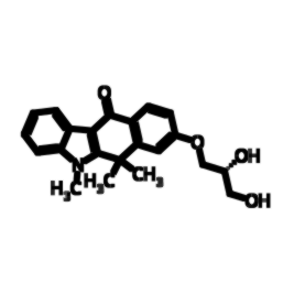 Cn1c2c(c3ccccc31)C(=O)c1ccc(OC[C@H](O)CO)cc1C2(C)C